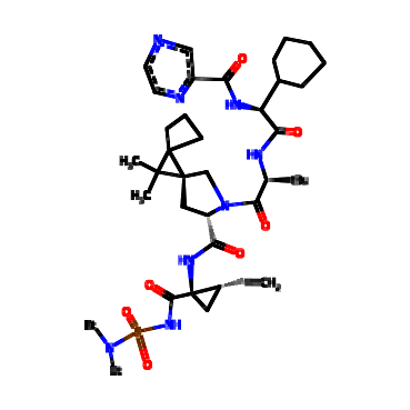 C=C[C@@H]1C[C@]1(NC(=O)[C@@H]1C[C@@]2(CN1C(=O)[C@@H](NC(=O)[C@@H](NC(=O)c1cnccn1)C1CCCCC1)C(C)(C)C)C(C)(C)C21CCC1)C(=O)NS(=O)(=O)N(CC)CC